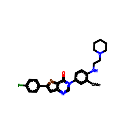 COc1cc(-n2cnc3cc(-c4ccc(F)cc4)sc3c2=O)ccc1NCCN1CCCCC1